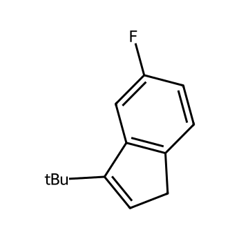 CC(C)(C)C1=CCc2ccc(F)cc21